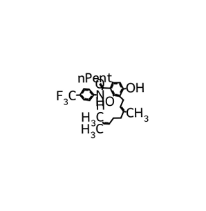 CCCCCc1cc(O)c(C/C=C(\C)CCC=C(C)C)c(O)c1C(=O)Nc1ccc(C(F)(F)F)cc1